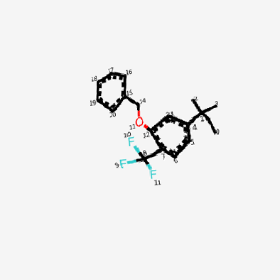 CC(C)(C)c1ccc(C(F)(F)F)c(OCc2ccccc2)c1